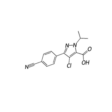 CC(C)n1nc(-c2ccc(C#N)cc2)c(Cl)c1C(=O)O